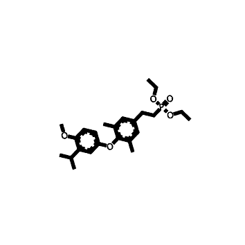 CCOP(=O)(CCc1cc(C)c(Oc2ccc(OC)c(C(C)C)c2)c(C)c1)OCC